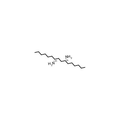 CCCCCC[C@@H](N)CC[C@H](N)CCCCCC